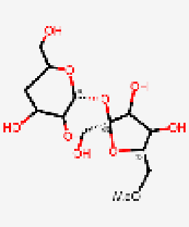 COC[C@H]1O[C@@](CO)(O[C@H]2OC(CO)CC(O)C2O)C(O)C1O